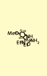 CCN(CC)c1c(C(N)=O)[nH]c2ccc(OC)cc12